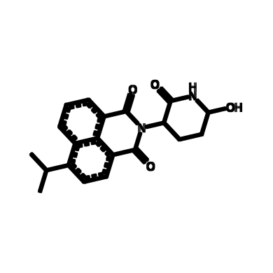 CC(C)c1ccc2c3c(cccc13)C(=O)N(C1CCC(O)NC1=O)C2=O